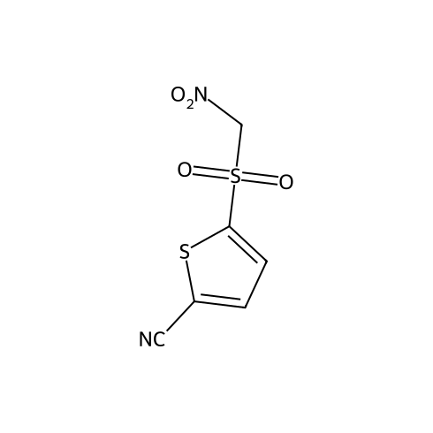 N#Cc1ccc(S(=O)(=O)C[N+](=O)[O-])s1